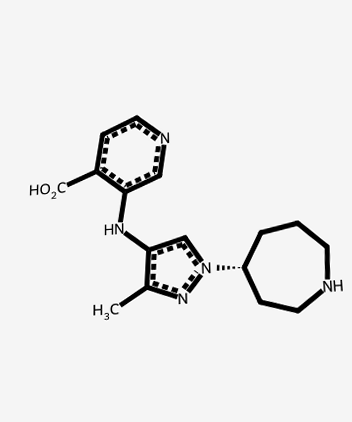 Cc1nn([C@@H]2CCCNCC2)cc1Nc1cnccc1C(=O)O